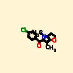 Cc1c2c(n(C)c1C(=O)c1ccc(Cl)cc1)CCO2